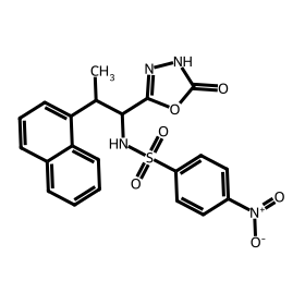 CC(c1cccc2ccccc12)C(NS(=O)(=O)c1ccc([N+](=O)[O-])cc1)c1n[nH]c(=O)o1